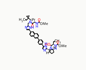 C=C[C@H](NC(=O)OC)C(O)N1[C@@H]2CC[C@@H](C2)[C@H]1c1ncc(-c2ccc(-c3ccc4cc(-c5cnc(CN(CC6(C=C)CC6)C(=O)[C@@H](NC(=O)OC)C(C)C)[nH]5)ccc4c3)cc2)[nH]1